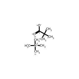 CC(C)(C)C(=O)[O-].C[N+](C)(C)C